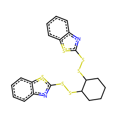 c1ccc2sc(SSC3CCCCC3SSc3nc4ccccc4s3)nc2c1